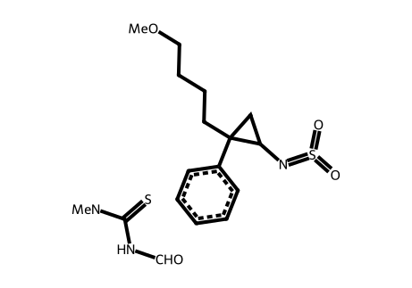 CNC(=S)NC=O.COCCCCC1(c2ccccc2)CC1N=S(=O)=O